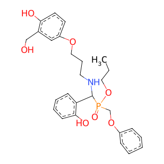 CCCOP(=O)(COc1ccccc1)C(NCCCOc1ccc(O)c(CO)c1)c1ccccc1O